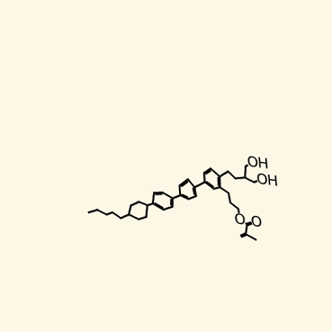 C=C(C)C(=O)OCCCc1cc(-c2ccc(-c3ccc(C4CCC(CCCCC)CC4)cc3)cc2)ccc1CCC(CO)CO